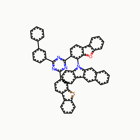 c1ccc(-c2cccc(-c3nc(-c4ccc5c(c4)sc4ccccc45)nc(-c4ccc5c(oc6ccccc65)c4-n4c5ccccc5c5cc6ccccc6cc54)n3)c2)cc1